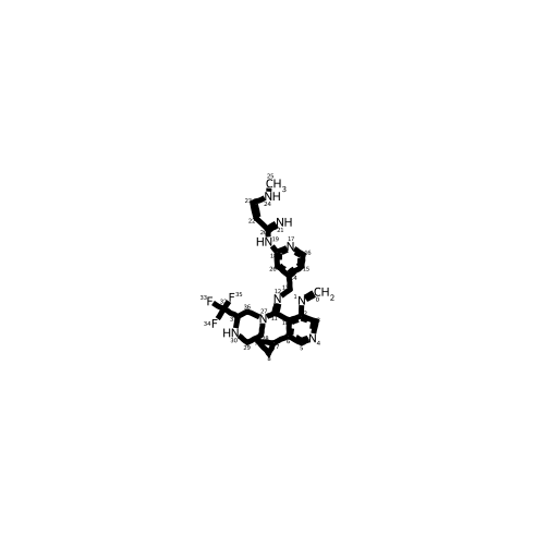 C=Nc1cncc(C2CC2)c1/C(=N\Cc1ccnc(NC(=N)/C=C\NC)c1)N1CCNC(C(F)(F)F)C1